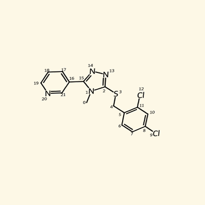 Cn1c(SCc2ccc(Cl)cc2Cl)nnc1-c1cccnc1